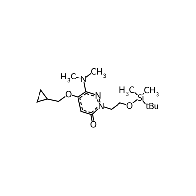 CN(C)c1nn(CCO[Si](C)(C)C(C)(C)C)c(=O)cc1OCC1CC1